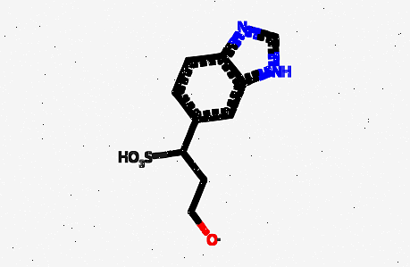 [O]CCC(c1ccc2nc[nH]c2c1)S(=O)(=O)O